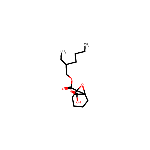 CCCCC(CC)COC(=O)C12CCCCC1(C(=O)O)O2